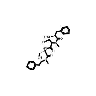 CC(=O)N[C@@H](Cc1ccccc1)C(=O)N(C)C(CC(C)C)C(=O)N[C@@H](CC#N)C(=O)N(C)CCc1ccccc1